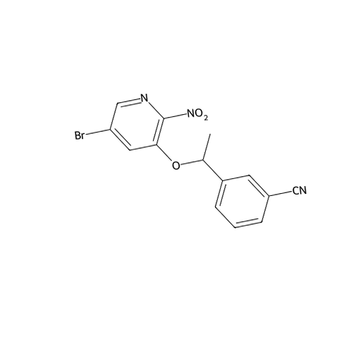 CC(Oc1cc(Br)cnc1[N+](=O)[O-])c1cccc(C#N)c1